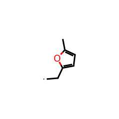 [CH2]Cc1ccc(C)o1